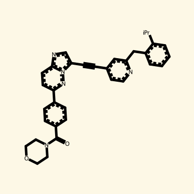 CC(C)c1ccccc1Cc1cc(C#Cc2cnc3ccc(-c4ccc(C(=O)N5CCOCC5)cc4)nn23)ccn1